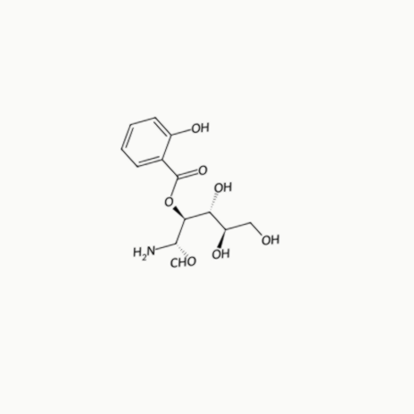 N[C@@H](C=O)[C@@H](OC(=O)c1ccccc1O)[C@H](O)[C@H](O)CO